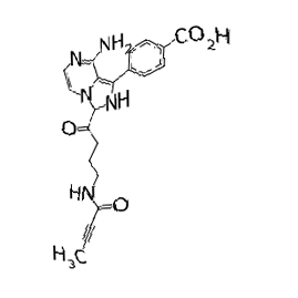 CC#CC(=O)NCCCC(=O)C1NC(c2ccc(C(=O)O)cc2)=C2C(N)=NC=CN21